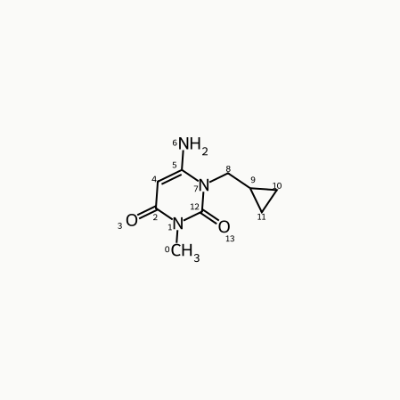 Cn1c(=O)cc(N)n(CC2CC2)c1=O